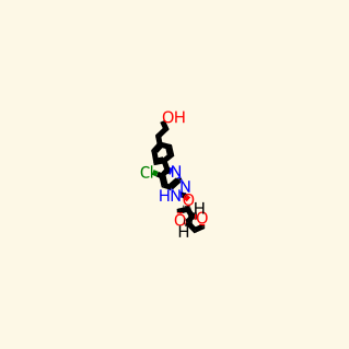 OCCCc1ccc(-c2nc3nc(O[C@@H]4CO[C@@H]5CCO[C@@H]54)[nH]c3cc2Cl)cc1